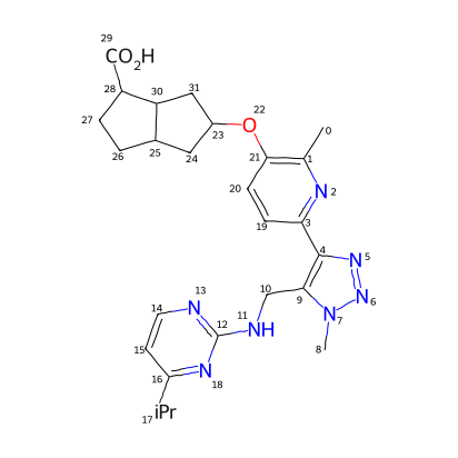 Cc1nc(-c2nnn(C)c2CNc2nccc(C(C)C)n2)ccc1OC1CC2CCC(C(=O)O)C2C1